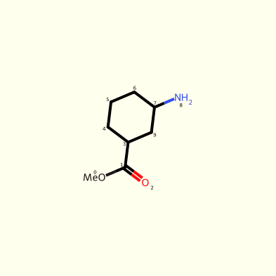 COC(=O)C1CCCC(N)C1